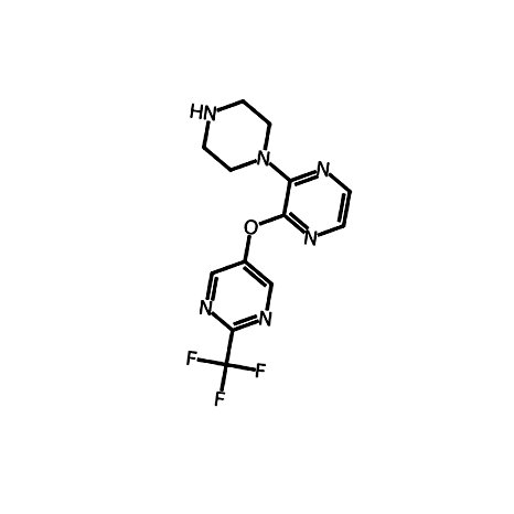 FC(F)(F)c1ncc(Oc2nccnc2N2CCNCC2)cn1